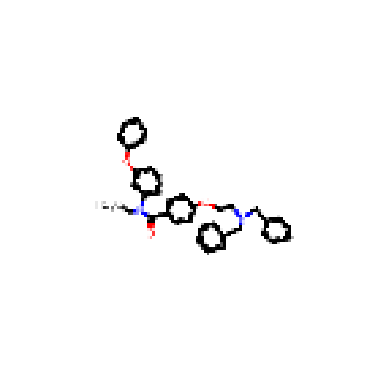 O=C(O)CN(C(=O)c1ccc(OCCN(Cc2ccccc2)Cc2ccccc2)cc1)c1cccc(Oc2ccccc2)c1